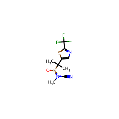 C[N+](C#N)=S([O-])C(C)(C)c1cnc(C(F)(F)F)s1